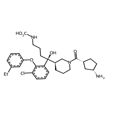 CCc1cccc(Oc2c(Cl)cccc2[C@](O)(CCCNC(=O)O)[C@@H]2CCCN(C(=O)[C@@H]3CC[C@H](N)C3)C2)c1